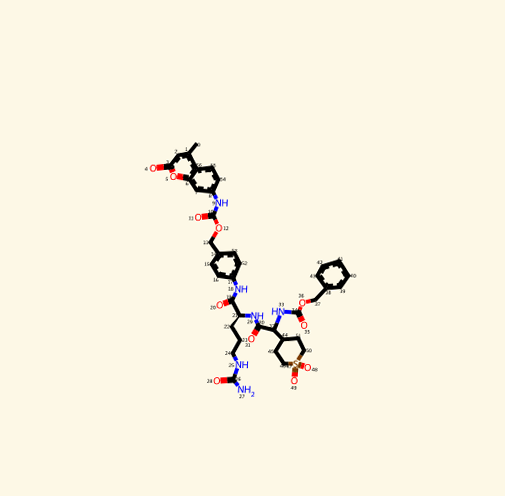 Cc1cc(=O)oc2cc(NC(=O)OCc3ccc(NC(=O)[C@H](CCCNC(N)=O)NC(=O)C(NC(=O)OCc4ccccc4)C4CCS(=O)(=O)CC4)cc3)ccc12